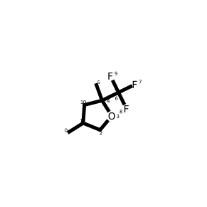 CC1COC(C)(C(F)(F)F)C1